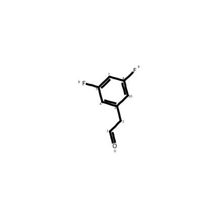 O=[C]Cc1cc(F)cc(F)c1